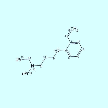 C=Cc1ccccc1OCCCN(CCC)CC(C)C